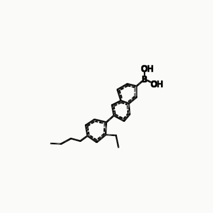 CCCCc1ccc(-c2ccc3cc(B(O)O)ccc3c2)c(CC)c1